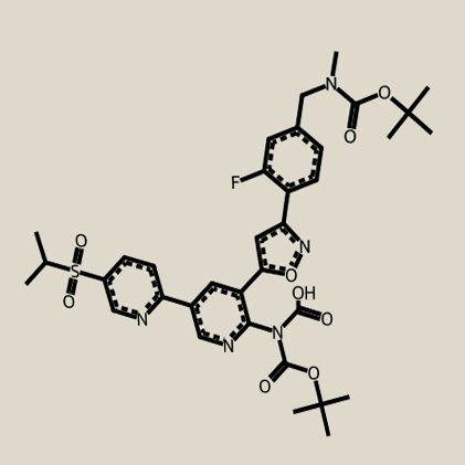 CC(C)S(=O)(=O)c1ccc(-c2cnc(N(C(=O)O)C(=O)OC(C)(C)C)c(-c3cc(-c4ccc(CN(C)C(=O)OC(C)(C)C)cc4F)no3)c2)nc1